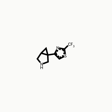 FC(F)(F)c1nc(C23CNCC2C3)cs1